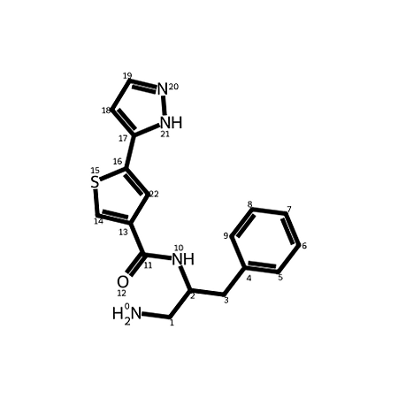 NCC(Cc1ccccc1)NC(=O)c1csc(-c2ccn[nH]2)c1